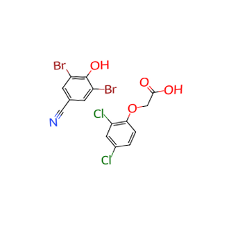 N#Cc1cc(Br)c(O)c(Br)c1.O=C(O)COc1ccc(Cl)cc1Cl